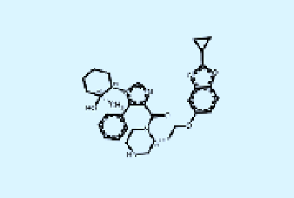 C[C@]1(O)CCCC[C@H]1n1cnc(C(=O)N2CCNC[C@H]2CCOc2ccc3oc(C4CC4)nc3c2)c1-c1ccccc1